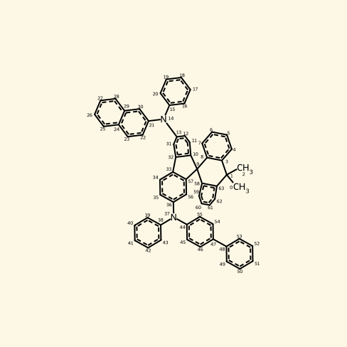 CC1(C)c2ccccc2C2(c3ccc(N(c4ccccc4)c4ccc5ccccc5c4)cc3-c3ccc(N(c4ccccc4)c4ccc(-c5ccccc5)cc4)cc32)c2ccccc21